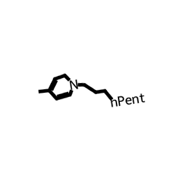 CCCCCCCCN1C=CC(C)=CC1